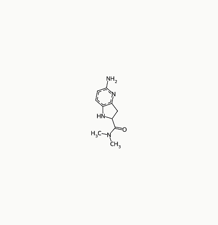 CN(C)C(=O)C1Cc2nc(N)ccc2N1